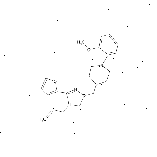 C=CCN1CN(CN2CCN(c3ccccc3OC)CC2)N=C1c1ccco1